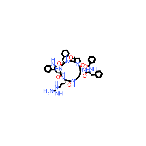 N=C(N)NCCC[C@@H]1NC(=O)[C@H](Cc2c[nH]c3ccccc23)NC(=O)[C@@H](CC2CCCCC2)NC(=O)[C@@H]2CCCN2C(=O)[C@@H](NC(=O)[C@H](Cc2ccccc2)NC(=O)c2ccccc2)CCCNC1=O